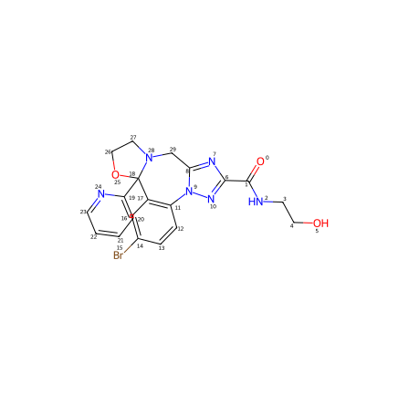 O=C(NCCO)c1nc2n(n1)-c1ccc(Br)cc1C1(c3ccccn3)OCCN1C2